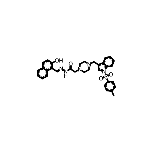 Cc1ccc(S(=O)(=O)n2cc(CN3CCN(CC(=O)NN=Cc4c(O)ccc5ccccc45)CC3)c3ccccc32)cc1